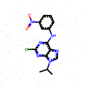 CC(C)n1cnc2c(Nc3cccc([N+](=O)[O-])c3)nc(Cl)nc21